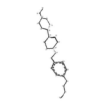 CCCCc1ccc(CC[C@H]2CC[C@H]([C@H]3CC[C@H](CC)CC3)CC2)cc1